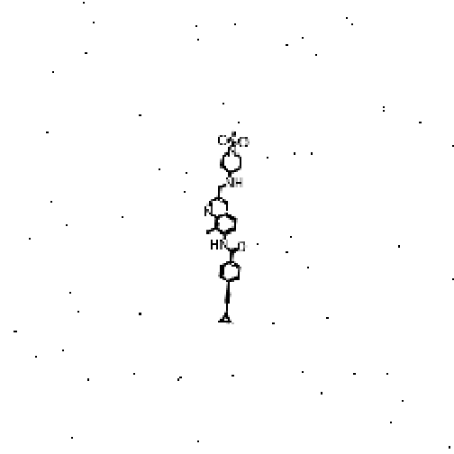 Cc1c(NC(=O)c2ccc(C#CC3CC3)cc2)ccc2cc(CNC3CCN(S(C)(=O)=O)CC3)cnc12